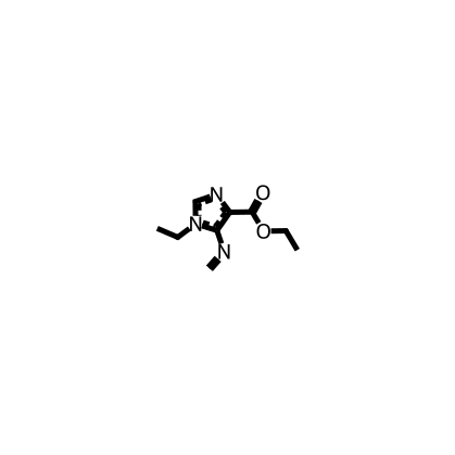 C=Nc1c(C(=O)OCC)ncn1CC